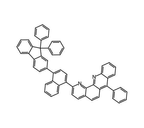 c1ccc(-c2c3ccccc3nc3c2ccc2ccc(-c4ccc(-c5ccc6c(c5)C(c5ccccc5)(c5ccccc5)c5ccccc5-6)c5ccccc45)nc23)cc1